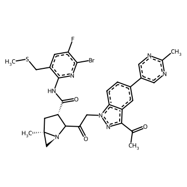 CSCc1cc(F)c(Br)nc1NC(=O)[C@H]1C[C@]2(C)C[N@]2C1C(=O)Cn1nc(C(C)=O)c2cc(-c3cnc(C)nc3)ccc21